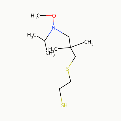 CON(CC(C)(C)CSCCS)C(C)C